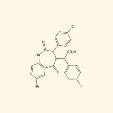 CC(C)c1ccc2c(c1)C(=O)N(C(C(=O)O)c1ccc(Cl)cc1)C(c1ccc(Cl)cc1)C(=O)N2